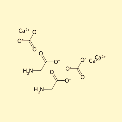 NCC(=O)[O-].NCC(=O)[O-].O=C([O-])[O-].O=C([O-])[O-].[Ca+2].[Ca+2].[Ca+2]